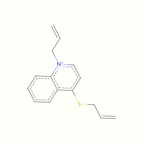 C=CCSc1cc[n+](CC=C)c2ccccc12